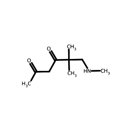 CNCC(C)(C)C(=O)CC(C)=O